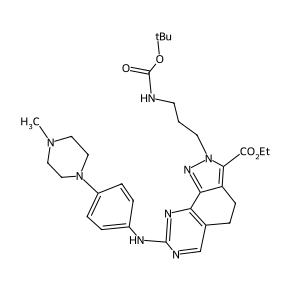 CCOC(=O)c1c2c(nn1CCCNC(=O)OC(C)(C)C)-c1nc(Nc3ccc(N4CCN(C)CC4)cc3)ncc1CC2